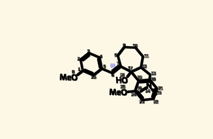 COc1cccc(/C=C2\CCCCC(CN(C)C)C2(O)c2ccccc2OC)c1